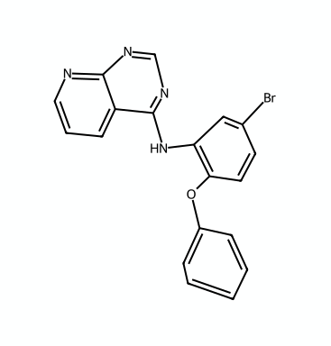 Brc1ccc(Oc2ccccc2)c(Nc2ncnc3ncccc23)c1